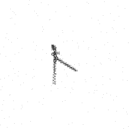 CCCCCCCCC=CCCCCCCCCOCC(COC(=O)NCCN1CCN(C)CC1)OCCCCCCCCC=CCCCCCCCC